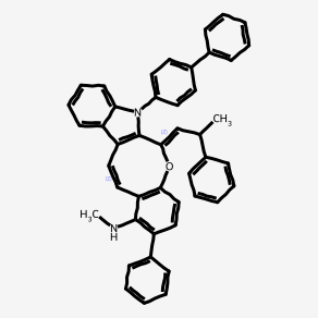 CNc1c(-c2ccccc2)ccc2c1/C=C\c1c(n(-c3ccc(-c4ccccc4)cc3)c3ccccc13)/C(=C/C(C)c1ccccc1)O2